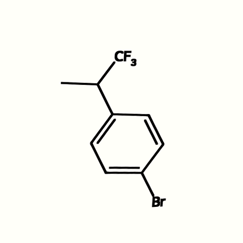 CC(c1ccc(Br)cc1)C(F)(F)F